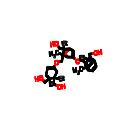 CCC1(CO)CC=C(OCC2(C)C3OC(C=C3OCC3(C)C4C=CC(CC4)C3(CC)CO)C2(CC)CO)CC1(CC)CO